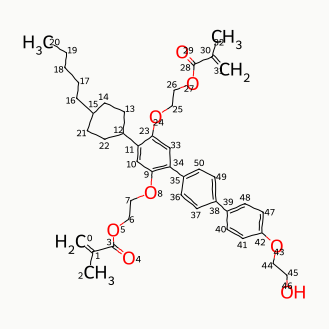 C=C(C)C(=O)OCCOc1cc(C2CCC(CCCCC)CC2)c(OCCOC(=O)C(=C)C)cc1-c1ccc(-c2ccc(OCCO)cc2)cc1